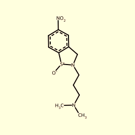 CN(C)CCCN1Cc2cc([N+](=O)[O-])ccc2[S+]1[O-]